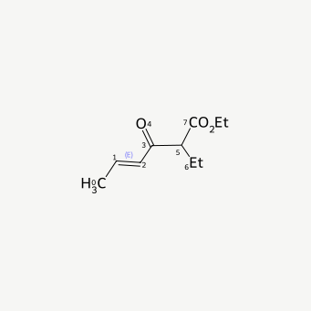 C/C=C/C(=O)C(CC)C(=O)OCC